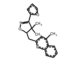 Cc1cc(CC2ON=C(c3ccco3)C2(C)C)nc2ccccc12